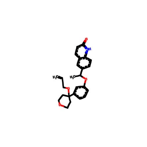 C=CCOC1(c2cccc(OC(C)c3ccc4[nH]c(=O)ccc4c3)c2)CCOCC1